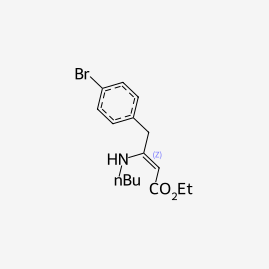 CCCCN/C(=C\C(=O)OCC)Cc1ccc(Br)cc1